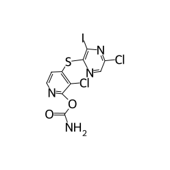 NC(=O)Oc1nccc(Sc2ncc(Cl)nc2I)c1Cl